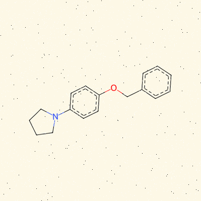 c1ccc(COc2ccc(N3CCCC3)cc2)cc1